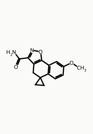 COc1ccc2c(c1)-c1onc(C(N)=O)c1CC21CC1